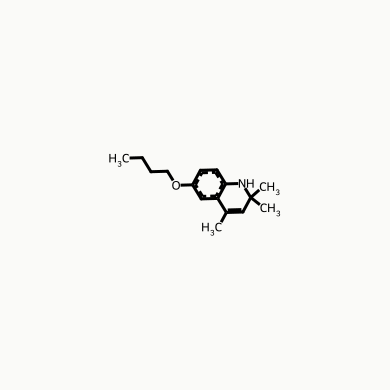 CCCCOc1ccc2c(c1)C(C)=CC(C)(C)N2